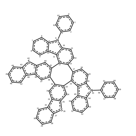 c1ccc(-n2c3ccccc3c3c4c(ccc32)-c2ccc3c(c2-c2cc5sc6ccccc6c5cc2-c2cc5c(cc2-4)sc2ccccc25)c2ccccc2n3-c2ccccc2)cc1